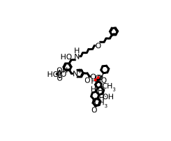 C[C@]12C=CC(=O)C=C1CC[C@@H]1[C@@H]2[C@@H](O)C[C@@]2(C)[C@H]1C[C@H]1O[C@@H](C3CCCCC3)O[C@]12C(=O)COC(=O)Cc1cc[n+](Cc2cc([C@@H](O)CNCCCCCCOCCCCc3ccccc3)ccc2OP(=O)(O)O)cc1